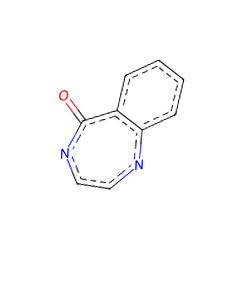 O=c1nccnc2ccccc12